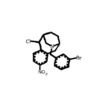 O=[N+]([O-])c1ccc2c(c1)CC1CCC(CN1Cc1cccc(Br)c1)C2Cl